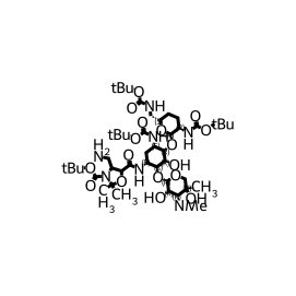 CN[C@@H]1[C@@H](O)[C@@H](O[C@@H]2[C@H](O)[C@H](O[C@H]3O[C@H](CNC(=O)OC(C)(C)C)CC[C@H]3NC(=O)OC(C)(C)C)[C@@H](NC(=O)OC(C)(C)C)C[C@H]2NC(=O)C2OC(C)(C)N(C(=O)OC(C)(C)C)C2CN)OC[C@]1(C)O